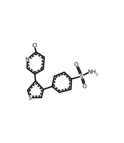 NS(=O)(=O)c1ccc(-c2cscc2-c2ccc(Cl)nc2)cc1